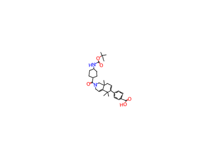 CC(C)(C)OC(=O)NC1CCC(C(=O)N2CC=C3C(C)(CC=C(c4ccc(C(=O)O)cc4)C3(C)C)C2)CC1